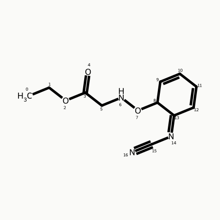 CCOC(=O)CNOC1C=CC=CC1=NC#N